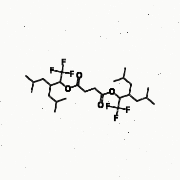 CC(C)CC(CC(C)C)C(OC(=O)CCC(=O)OC(C(CC(C)C)CC(C)C)C(F)(F)F)C(F)(F)F